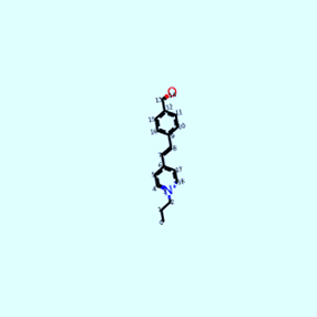 CCC[n+]1ccc(/C=C/c2ccc(C=O)cc2)cc1